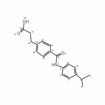 CC(C)c1ccc(NC(=O)c2ccc(CCC(=O)O)cc2)cc1